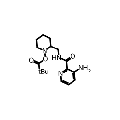 CC(C)(C)C(=O)ON1CCCCC1CNC(=O)c1ncccc1N